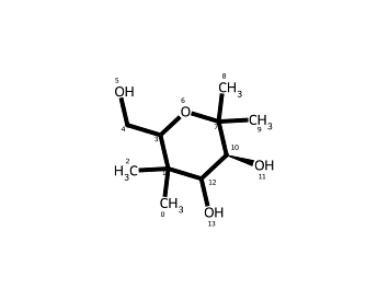 CC1(C)C(CO)OC(C)(C)[C@@H](O)C1O